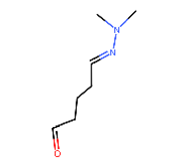 CN(C)/N=C/CCCC=O